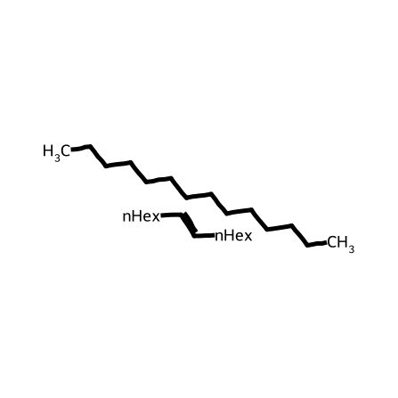 CCCCCCC=CCCCCCC.CCCCCCCCCCCCCC